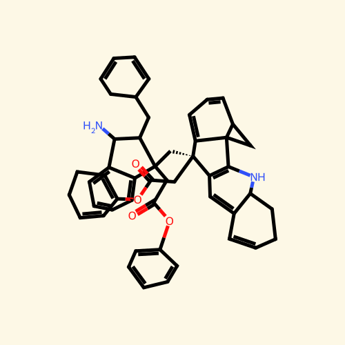 NC1c2ccccc2C(CC(=O)Oc2ccccc2)(C[C@]2(CC(=O)OC3=CCCC=C3)C3=CC=CC4CC34C3=C2C=C2C=CCCC2N3)C1CC1C=CC=CC1